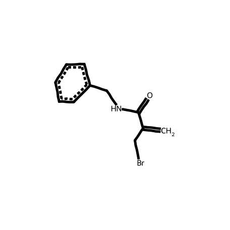 C=C(CBr)C(=O)NCc1ccccc1